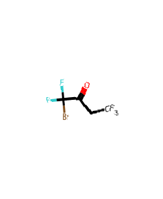 O=C(CC(F)(F)F)C(F)(F)Br